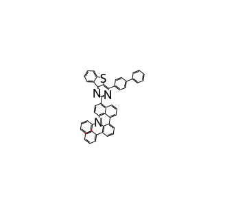 c1ccc(-c2ccc(-c3nc(-c4ccc5c6c(cccc46)-c4cccc(-c6ccccc6)c4N5c4ccccc4)nc4c3sc3ccccc34)cc2)cc1